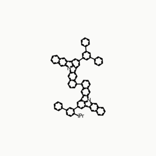 CC(C)c1ccc(-c2ccccc2)cc1-c1cc2c3cc4ccccc4cc3n3c4cc5cccc(-c6cccc7cc8c(cc67)c6cc(-c7cc(-c9ccccc9)cc(-c9ccccc9)c7)cc7c9cc%10ccccc%10cc9n8c76)c5cc4c(c1)c23